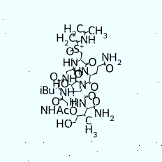 C=C(C)NC(=C)[S+]([O-])C[C@H](NC(=O)CNC(=O)[C@@H](NC(=O)CNC(C)=O)[C@@H](C)CC)C(=O)N[C@@H](CCC(N)=O)C(=O)N1C[C@H](O)C[C@H]1C(=O)N[C@H](C(N)=O)[C@@H](C)[C@@H](O)CO